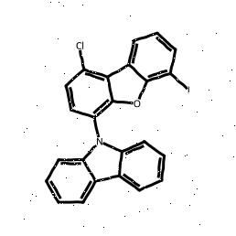 Clc1ccc(-n2c3ccccc3c3ccccc32)c2oc3c(I)cccc3c12